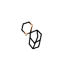 C1CSC2(SC1)C1CC3CC(C1)CC2C3